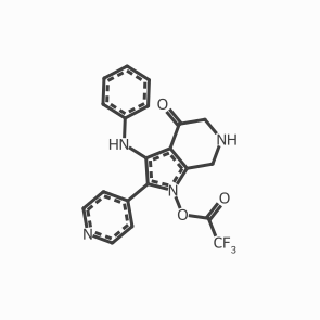 O=C1CNCc2c1c(Nc1ccccc1)c(-c1ccncc1)n2OC(=O)C(F)(F)F